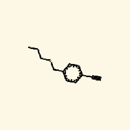 C#Cc1ccc(CSCCC)cc1